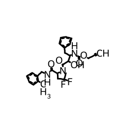 C#CCOC(=O)NC(Cc1ccccc1)C(O)C(=O)N1CC(F)(F)CC1C(=O)NCc1ccccc1C